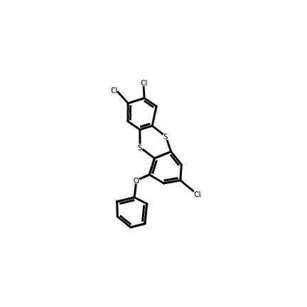 Clc1cc(Oc2ccccc2)c2c(c1)Sc1cc(Cl)c(Cl)cc1S2